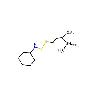 COC(CCSSNC1CCCCC1)[SiH](C)C